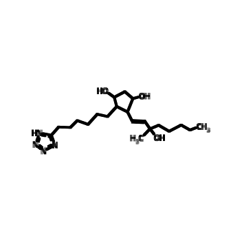 CCCCCC(C)(O)C=CC1C(O)CC(O)C1CCCCCCc1nnn[nH]1